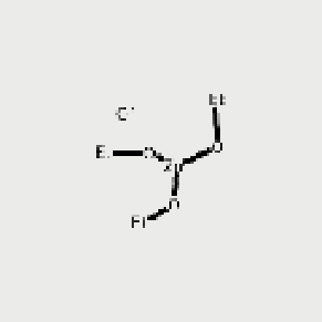 CC[O][Zn]([O]CC)[O]CC.[O-2]